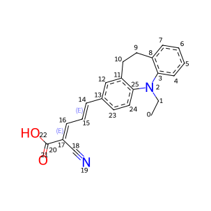 CCN1c2ccccc2CCc2cc(/C=C/C=C(\C#N)C(=O)O)ccc21